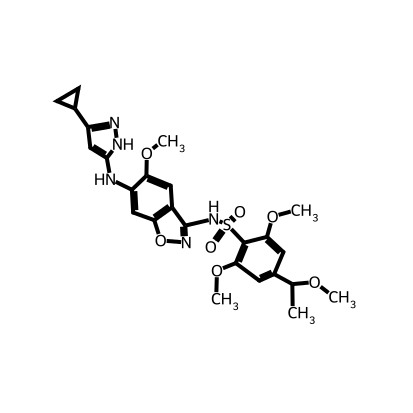 COc1cc2c(NS(=O)(=O)c3c(OC)cc(C(C)OC)cc3OC)noc2cc1Nc1cc(C2CC2)n[nH]1